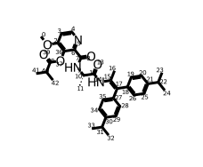 COc1ccnc(C(=O)N[C@@H](C)C(=O)NC(C)=C(c2ccc(C(C)C)cc2)c2ccc(C(C)C)cc2)c1OC(=O)C(C)C